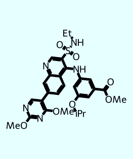 CCNS(=O)(=O)c1cnc2cc(-c3cnc(OC)nc3OC)ccc2c1Nc1cc(OC(C)C)cc(C(=O)OC)c1